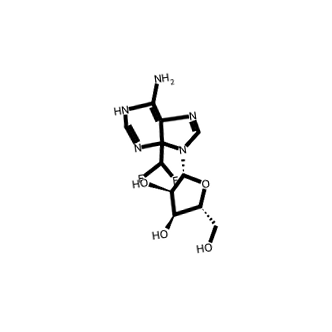 NC1=C2N=CN([C@@H]3O[C@H](CO)[C@@H](O)[C@H]3O)C2(C(F)F)N=CN1